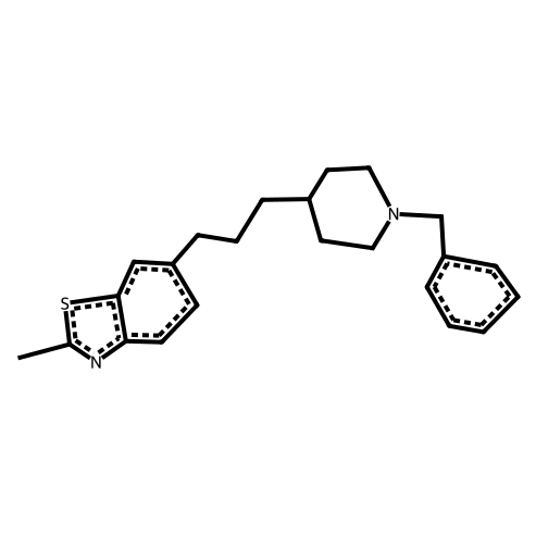 Cc1nc2ccc(CCCC3CCN(Cc4ccccc4)CC3)cc2s1